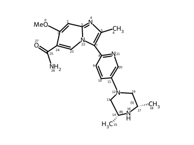 COc1cc2nc(C)c(-c3ccc(N4C[C@@H](C)N[C@@H](C)C4)cn3)n2cc1C(N)=O